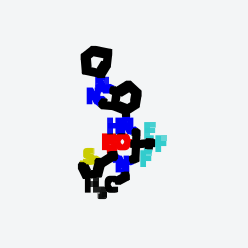 CCN(CC(O)(CNc1cccc2c1cnn2-c1ccccc1)C(F)(F)F)C(=O)c1cccs1